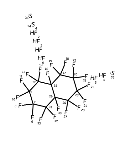 F.F.F.F.F.F.FC1(F)C(F)(F)C(F)(F)C2(F)C(F)(F)C(F)(F)C(F)(F)C(F)(F)C2(F)C1(F)F.[S].[S].[S]